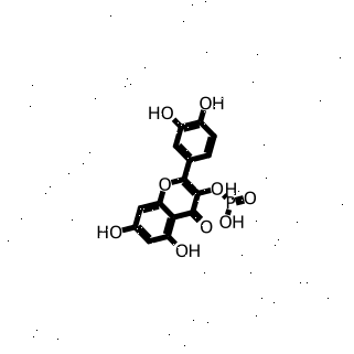 O=c1c(O[PH](=O)O)c(-c2ccc(O)c(O)c2)oc2cc(O)cc(O)c12